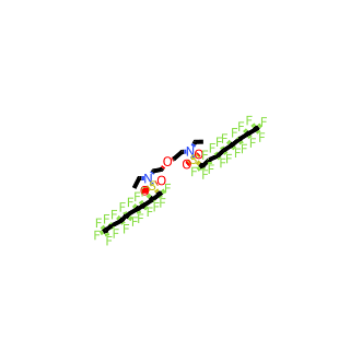 CCN(CCOCCN(CC)S(=O)(=O)C(F)(F)C(F)(F)C(F)(F)C(F)(F)C(F)(F)C(F)(F)C(F)(F)C(F)(F)F)S(=O)(=O)C(F)(F)C(F)(F)C(F)(F)C(F)(F)C(F)(F)C(F)(F)C(F)(F)C(F)(F)F